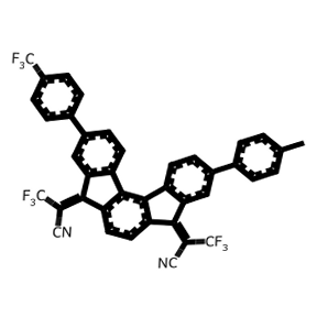 Cc1ccc(-c2ccc3c(c2)/C(=C(/C#N)C(F)(F)F)c2ccc4c(c2-3)-c2ccc(-c3ccc(C(F)(F)F)cc3)cc2/C4=C(/C#N)C(F)(F)F)cc1